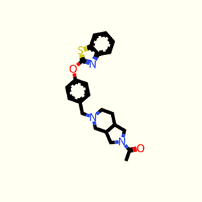 CC(=O)N1CC2CCN(Cc3ccc(Oc4nc5ccccc5s4)cc3)CC2C1